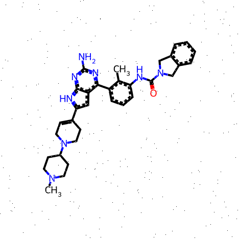 Cc1c(NC(=O)N2Cc3ccccc3C2)cccc1-c1nc(N)nc2[nH]c(C3=CCN(C4CCN(C)CC4)CC3)cc12